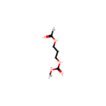 CCC(=O)OCCCOC(=O)OC(C)C